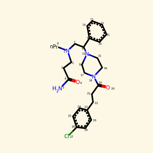 CCCN(CCC(N)=O)CC(c1ccccc1)N1CCN(C(=O)[CH]Cc2ccc(Cl)cc2)CC1